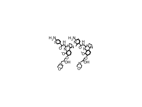 COc1c(OCC(O)CN2CCOCC2)ccc2c1N=C(NC(=O)c1ccc(N)nc1)N1CCN=C21.COc1c(OC[C@H](O)CN2CCOCC2)ccc2c1N=C(NC(=O)c1ccc(N)nc1C)N1CCN=C21